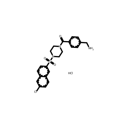 Cl.NCc1ccc(C(=O)N2CCN(S(=O)(=O)c3ccc4cc(Cl)ccc4c3)CC2)cc1